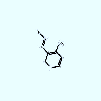 [N]N=NC1=C([N+](=O)[O-])C=COC1